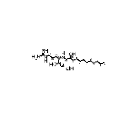 CCCCCCCCCCC(O)CNC(CCCNC(=N)N)C(=O)O.Cl